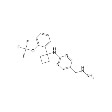 NNCc1cnc(NC2(c3ccccc3OC(F)(F)F)CCC2)nc1